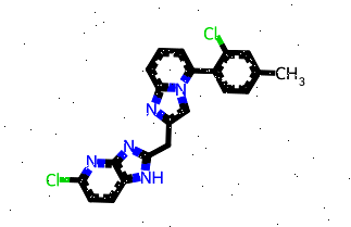 Cc1ccc(-c2cccc3nc(Cc4nc5nc(Cl)ccc5[nH]4)cn23)c(Cl)c1